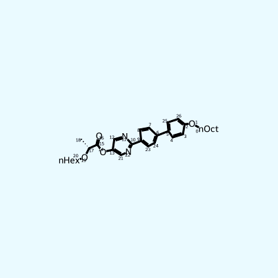 CCCCCCCCOc1ccc(-c2ccc(-c3ncc(OC(=O)[C@@H](C)OCCCCCC)cn3)cc2)cc1